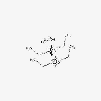 CCCCCCCC/C=C\CCCCCCCC(=O)C(O)C(O)C(O)C(=O)CCCCCCC/C=C\CCCCCCCC.CCCCCCCC/C=C\CCCCCCCC(=O)C(O)C(O)C(O)C(=O)CCCCCCC/C=C\CCCCCCCC.O=C(O)CCCC(=O)O